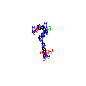 CNC(=O)COc1cc2cc(Nc3nc(N4CCC(N5CCCN(C6CCN(c7ccc8c(c7)C(O)N(C7CCC(=O)NC7=O)C8=O)C6)C5)CC4)ncc3Cl)ccc2n(C(C)C)c1=O